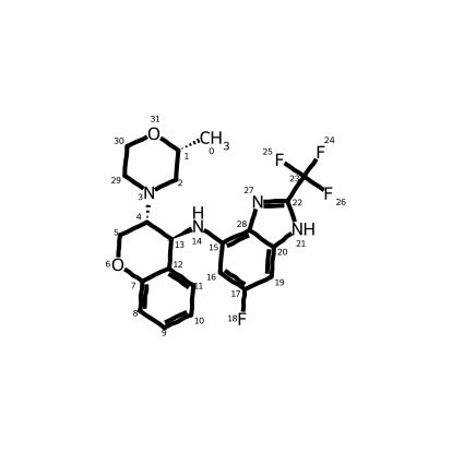 C[C@@H]1CN([C@H]2COc3ccccc3[C@@H]2Nc2cc(F)cc3[nH]c(C(F)(F)F)nc23)CCO1